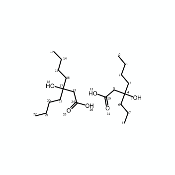 CCCCC(O)(CCC)CC(=O)O.CCCCC(O)(CCCC)CC(=O)O